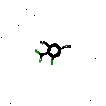 Cc1cc(C(C)(C)C)cc(Cl)c1C(F)F